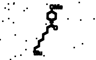 COC1CCN(C(=O)CCCCCCCC(C)(C)C)CC1